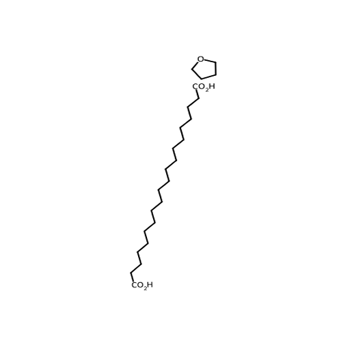 C1CCOC1.O=C(O)CCCCCCCCCCCCCCCCCCC(=O)O